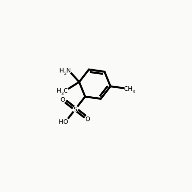 CC1=CC(S(=O)(=O)O)C(C)(N)C=C1